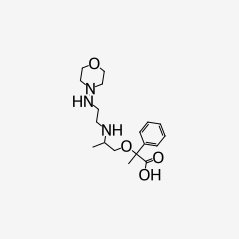 CC(COC(C)(C(=O)O)c1ccccc1)NCCNN1CCOCC1